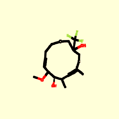 COC1/C=C/CCCCC(O)(C(F)(F)F)CC/C(C)=C\C(C)[C@@H]1O